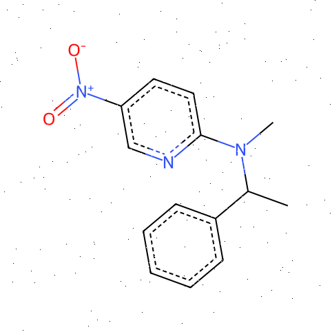 CC(c1ccccc1)N(C)c1ccc([N+](=O)[O-])cn1